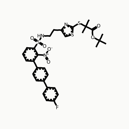 CC(C)(C)OC(=O)C(C)(C)Sc1nc(CCNS(=O)(=O)c2cccc(-c3ccc(-c4ccc(F)cc4)cc3)c2[N+](=O)[O-])cs1